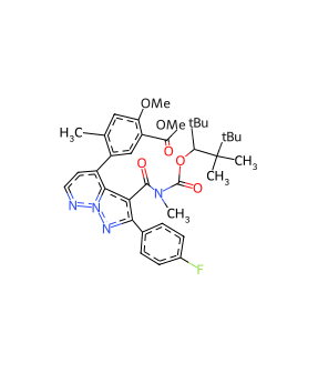 COC(=O)c1cc(-c2ccnn3nc(-c4ccc(F)cc4)c(C(=O)N(C)C(=O)OC(C(C)(C)C)C(C)(C)C(C)(C)C)c23)c(C)cc1OC